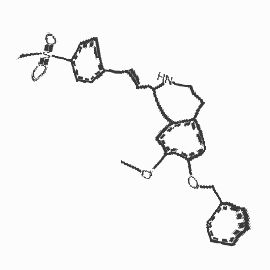 COc1cc2c(cc1OCc1ccccc1)CCNC2C=Cc1ccc(S(C)(=O)=O)cc1